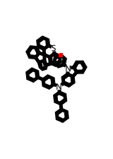 c1ccc(-c2ccc(N(c3ccc(-c4ccccc4)cc3)c3ccc4c5ccccc5n(-c5cccc(-c6cccc7c6C6(c8ccccc8Sc8ccccc86)c6ccccc6-7)c5)c4c3)cc2)cc1